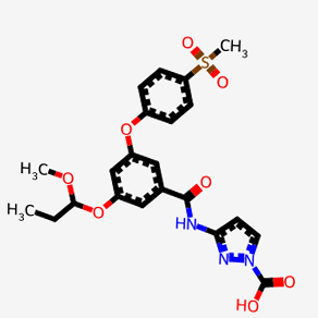 CCC(OC)Oc1cc(Oc2ccc(S(C)(=O)=O)cc2)cc(C(=O)Nc2ccn(C(=O)O)n2)c1